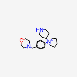 c1cc([N+]2(C3CCNCC3)CCCCC2)ccc1CN1CCOCC1